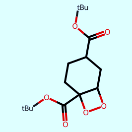 CC(C)(C)OC(=O)C1CCC2(C(=O)OC(C)(C)C)OOC2C1